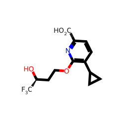 O=C(O)c1ccc(C2CC2)c(OCC[C@H](O)C(F)(F)F)n1